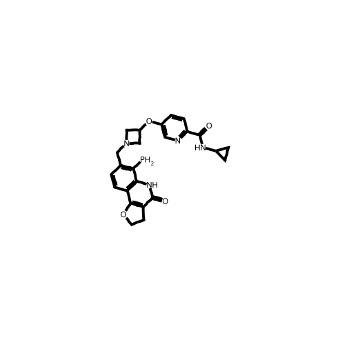 O=C(NC1CC1)c1ccc(OC2CN(Cc3ccc4c5c(c(=O)[nH]c4c3P)CCO5)C2)cn1